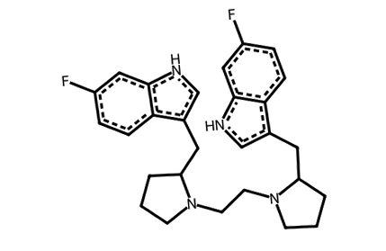 Fc1ccc2c(CC3CCCN3CCN3CCCC3Cc3c[nH]c4cc(F)ccc34)c[nH]c2c1